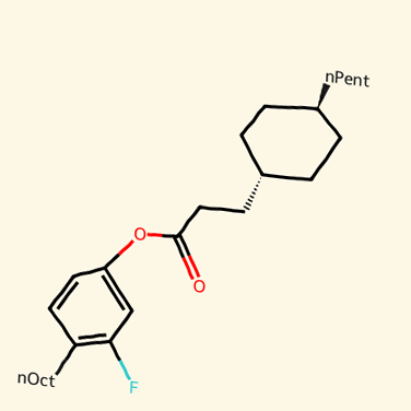 CCCCCCCCc1ccc(OC(=O)CC[C@H]2CC[C@H](CCCCC)CC2)cc1F